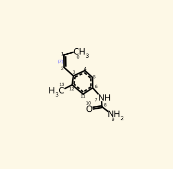 C/C=C\c1ccc(NC(N)=O)cc1C